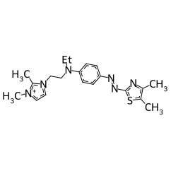 CCN(CCn1cc[n+](C)c1C)c1ccc(N=Nc2nc(C)c(C)s2)cc1